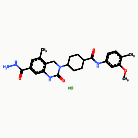 COc1cc(NC(=O)C2CCC(N3Cc4c(C)cc(C(=O)NN)cc4NC3=O)CC2)ccc1C.Cl